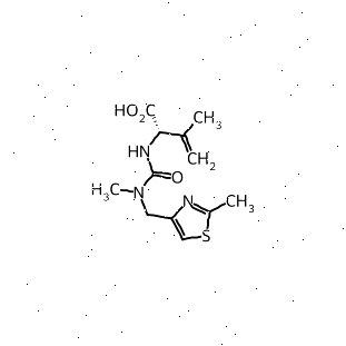 C=C(C)[C@H](NC(=O)N(C)Cc1csc(C)n1)C(=O)O